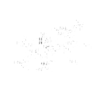 N=C(N)NCCC[C@H](NC(=O)[C@H](CCCNC(=N)N)NC(=O)[C@H](CCCNC(=N)N)NC(=O)[C@H](CCCNC(=N)N)NC(=O)[C@H](CCC(N)=O)NC(=O)[C@H](CCCNC(=N)N)NC(=O)[C@H](CCCCN)NC(=O)[C@H](CCCCN)NC(=O)[C@H](CCCNC(=N)N)NC(=O)CN)C(N)=O